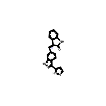 O=C1Nc2ccccc2/C1=C/c1ccc2c(-c3ccn[nH]3)n[nH]c2c1